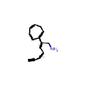 C#C/C=C\C=C(/CN)C1=CCC=CC=C1